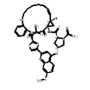 COc1ccc2c(O[C@@H]3C[C@@H](C(=O)N[C@]45C[C@H]4/C=C\CCCCCNc4ccccc4S(=O)(=O)SC5=O)N(C(C)=O)C3)cc(-c3csc(NC(C)C)n3)nc2c1